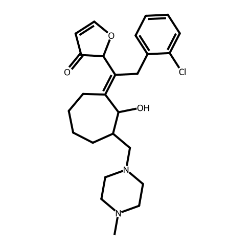 CN1CCN(CC2CCCCC(=C(Cc3ccccc3Cl)C3OC=CC3=O)C2O)CC1